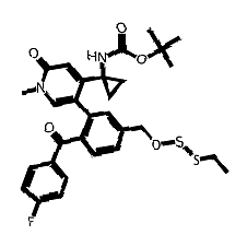 CCSSOCc1ccc(C(=O)c2ccc(F)cc2)c(-c2cn(C)c(=O)cc2C2(NC(=O)OC(C)(C)C)CC2)c1